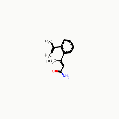 C=C(C)c1ccccc1/C(=C/C(N)=O)C(=O)O